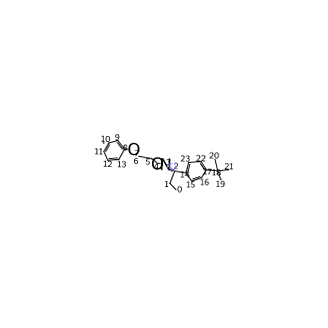 CC/C(=N\OCCOc1c[c]ccc1)c1ccc(C(C)(C)C)cc1